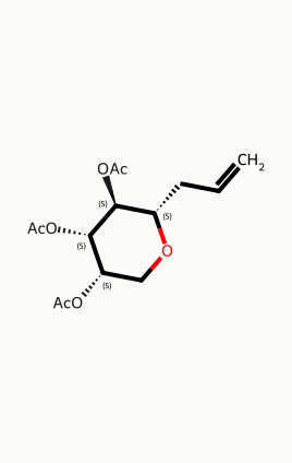 C=CC[C@@H]1OC[C@H](OC(C)=O)[C@H](OC(C)=O)[C@H]1OC(C)=O